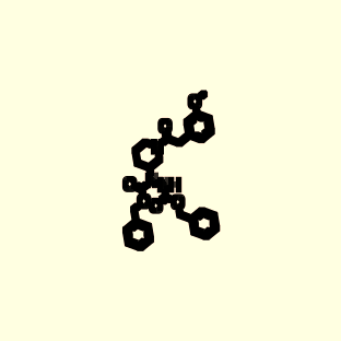 COc1cccc(CC(=O)N2CCCC(N(NC(=O)OCc3ccccc3)C(=O)OCc3ccccc3)C2)c1